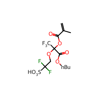 C=C(C)C(=O)OC(OCC(F)(F)S(=O)(=O)O)(C(=O)OCCCC)C(F)(F)F